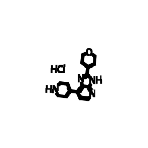 Cl.c1cc(C2CCNCC2)c2nc(C3CCOCC3)[nH]c2n1